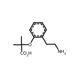 CC(C)(Oc1ccccc1CCN)C(=O)O